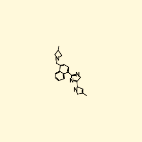 CC1=CC(C2=NC(c3ccc(CN4CC(C)C4)c4ccccc34)=NC2)=NC1